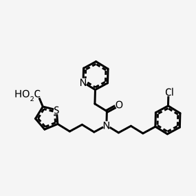 O=C(O)c1ccc(CCCN(CCCc2cccc(Cl)c2)C(=O)Cc2ccccn2)s1